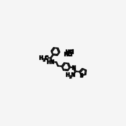 CC(NCCc1ccc(N=C(N)c2cccs2)cc1)c1ccccc1.Cl.Cl